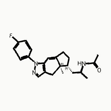 CC(=O)NC(C)C[C@H]1CCC2=Cc3c(cnn3-c3ccc(F)cc3)C[C@@]21C